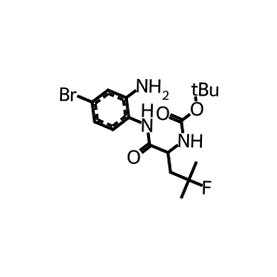 CC(C)(F)CC(NC(=O)OC(C)(C)C)C(=O)Nc1ccc(Br)cc1N